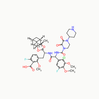 COc1c(F)cc(C(NC(=O)N2CCN(C3CCNCC3)C(=O)C2=O)C(=O)NC(Cc2ccc(F)c(C(=O)O)c2OC)B2O[C@@H]3C[C@@H]4C[C@@H](C4(C)C)[C@]3(C)O2)c(Cl)c1OC